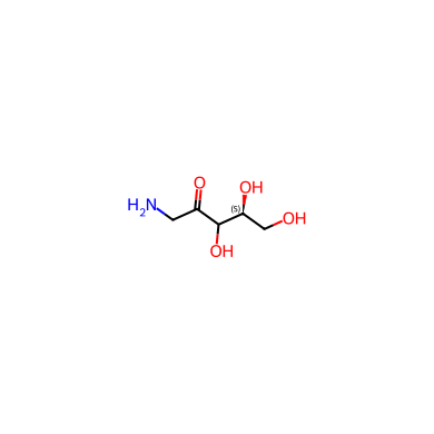 NCC(=O)C(O)[C@@H](O)CO